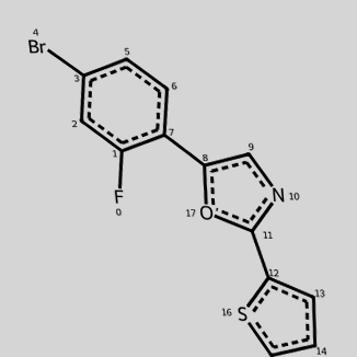 Fc1cc(Br)ccc1-c1cnc(-c2cccs2)o1